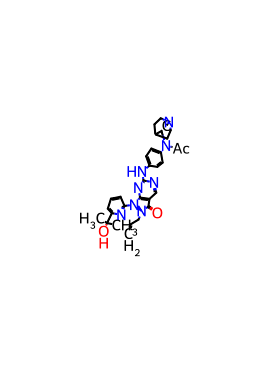 C=CCn1c(=O)c2cnc(Nc3ccc(N(C(C)=O)C4CN5CCC4CC5)cc3)nc2n1-c1cccc(C(C)(C)O)n1